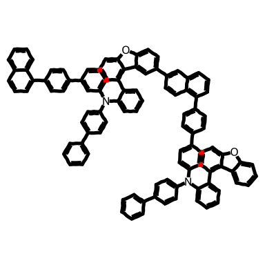 c1ccc(-c2ccc(N(c3ccc(-c4ccc(-c5cccc6cc(-c7ccc8oc9cccc(-c%10ccccc%10N(c%10ccc(-c%11ccccc%11)cc%10)c%10cccc(-c%11ccc(-c%12cccc%13ccccc%12%13)cc%11)c%10)c9c8c7)ccc56)cc4)cc3)c3ccccc3-c3cccc4oc5ccccc5c34)cc2)cc1